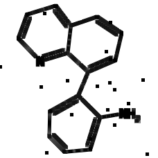 Nc1ccccc1-c1cccc2cccnc12